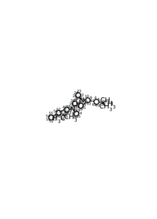 CC(C)(C)c1ccc(-c2ccc3c(c2)c2ccccc2n3-c2ccccc2-c2ccc(N(c3ccccc3)c3ccc4c(c3)C(C)(C)c3cc(-c5ccccc5)ccc3-4)cc2)cc1